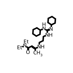 CCN(CC)C(=O)C=C(C)NCCCNC(=NC1CCCCC1)NC1CCCCC1